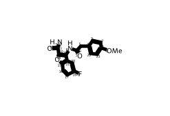 COc1ccc(CC(=O)Nc2c(C(N)=O)oc3ccc(F)cc23)cc1